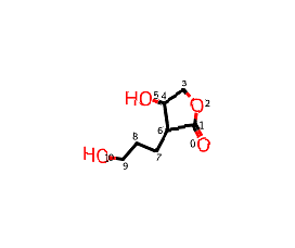 O=C1OCC(O)C1CCCO